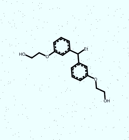 CCC(c1cccc(OCCO)c1)c1cccc(OCCO)c1